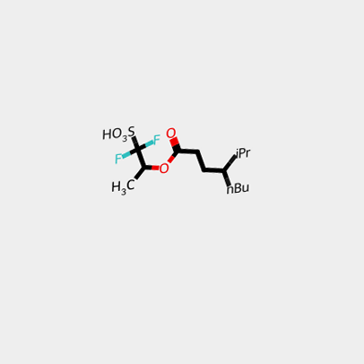 CCCCC(CCC(=O)OC(C)C(F)(F)S(=O)(=O)O)C(C)C